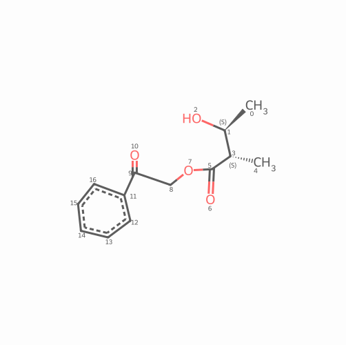 C[C@H](O)[C@H](C)C(=O)OCC(=O)c1ccccc1